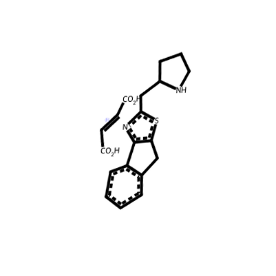 O=C(O)/C=C/C(=O)O.c1ccc2c(c1)Cc1sc(CC3CCCN3)nc1-2